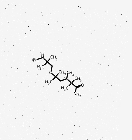 CC(C)NC(C)(C)COC(C)(C)CC(C)C(C)(C)C(N)=O